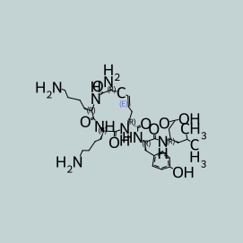 CC(C)C[C@@H](NC(=O)[C@@H](Cc1ccc(O)cc1)NC(=O)[C@H]1C/C=C/C[C@@H](N)C(=O)N[C@H](CCCCN)C(=O)N[C@H](CCCCN)C(=O)N1)C1OC1O